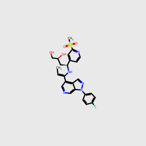 C/C=C(\N[C@@H](C[C@H](O)CO)c1ccnc(S(C)(=O)=O)c1)c1cncc2c1cnn2-c1ccc(F)cc1